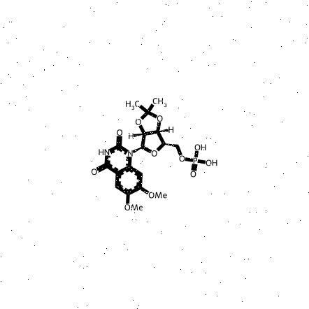 COc1cc2c(=O)[nH]c(=O)n([C@@H]3O[C@H](COP(=O)(O)O)[C@H]4OC(C)(C)O[C@H]43)c2cc1OC